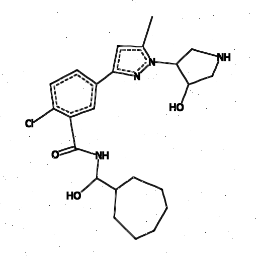 Cc1cc(-c2ccc(Cl)c(C(=O)NC(O)C3CCCCCC3)c2)nn1C1CNCC1O